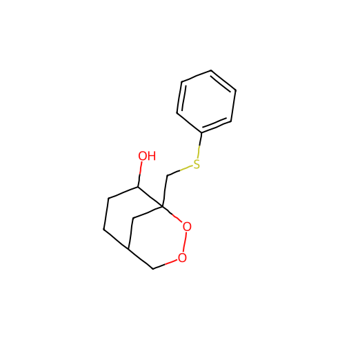 OC1CCC2COOC1(CSc1ccccc1)C2